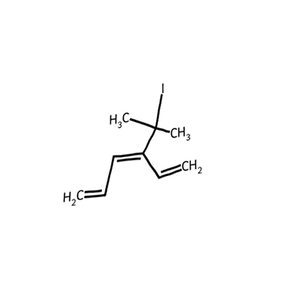 C=C/C=C(\C=C)C(C)(C)I